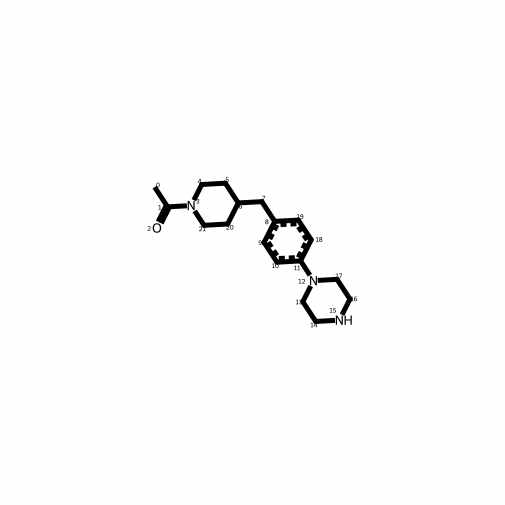 CC(=O)N1CCC(Cc2ccc(N3CCNCC3)cc2)CC1